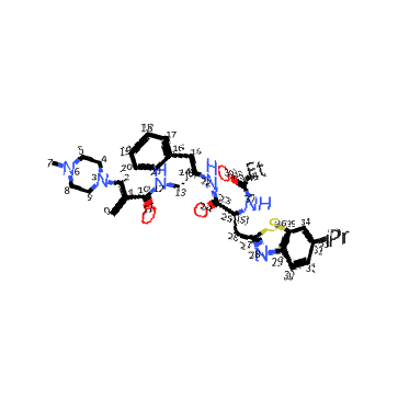 C=C(CN1CCN(C)CC1)C(=O)NC[C@H](Cc1ccccc1)NC(=O)[C@H](Cc1nc2ccc(C(C)C)cc2s1)NC(=O)CC